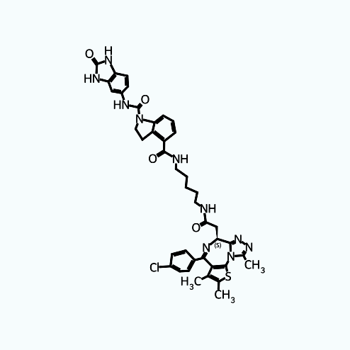 Cc1sc2c(c1C)C(c1ccc(Cl)cc1)=N[C@@H](CC(=O)NCCCCCNC(=O)c1cccc3c1CCN3C(=O)Nc1ccc3[nH]c(=O)[nH]c3c1)c1nnc(C)n1-2